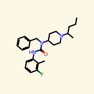 CCCC(C)N1CCC(N(Cc2ccccc2)C(=O)Nc2cccc(F)c2C)CC1